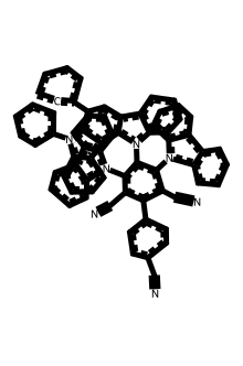 N#Cc1ccc(-c2c(C#N)c(-n3c4ccccc4c4ccccc43)c(-n3c4ccccc4c4cc(-c5ccccc5)c5c(c6ccccc6n5-c5ccccc5)c43)c(-n3c4ccccc4c4ccccc43)c2C#N)cc1